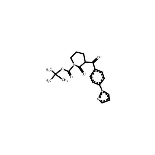 CC(C)(C)OC(=O)N1CCCC(C(=O)c2ccc(-n3cccn3)cc2)C1=O